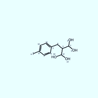 OC(O)C(Cc1ccc(I)cc1)C(O)O